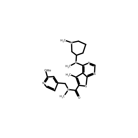 COc1cc(CN(C)C(=O)c2sc3ncnc(N(C)C4CCCN(C)C4)c3c2C)ccn1